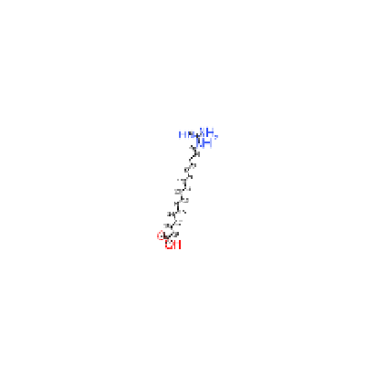 N=C(N)NCCCCCCCCCCCCCCCCC(=O)O